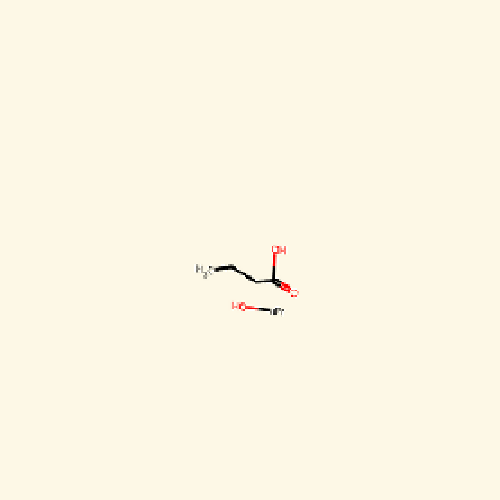 CCCC(=O)O.CCCO